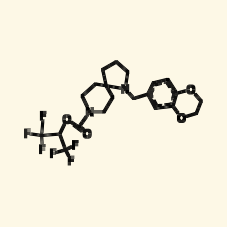 O=C(OC(C(F)(F)F)C(F)(F)F)N1CCC2(CCCN2Cc2ccc3c(c2)OCCO3)CC1